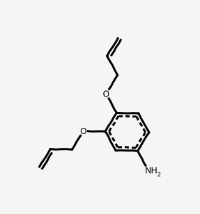 C=CCOc1ccc(N)cc1OCC=C